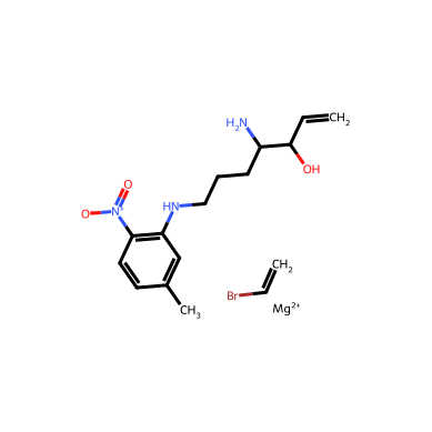 C=CBr.C=CC(O)C(N)CCCNc1cc(C)ccc1[N+](=O)[O-].[Mg+2]